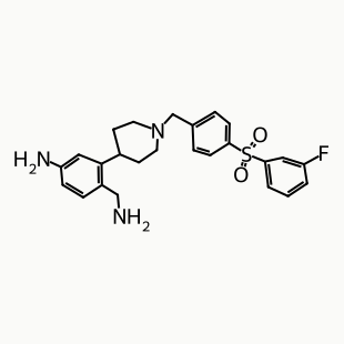 NCc1ccc(N)cc1C1CCN(Cc2ccc(S(=O)(=O)c3cccc(F)c3)cc2)CC1